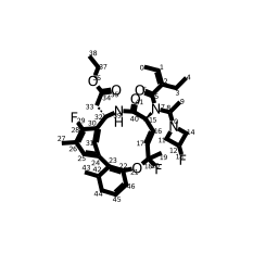 C/C=C(/CC)C(=O)N(C(C)N1CC(F)C1)[C@H]1/C=C/C(C)(F)OC2=C(c3cc(C)c(F)c(c3)[C@H](CC(=O)OCC)NC1=O)C(C)CC=C2